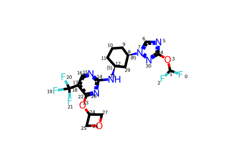 FC(F)Oc1ncn([C@@H]2CCC[C@H](Nc3ncc(C(F)(F)F)c(OC4COC4)n3)C2)n1